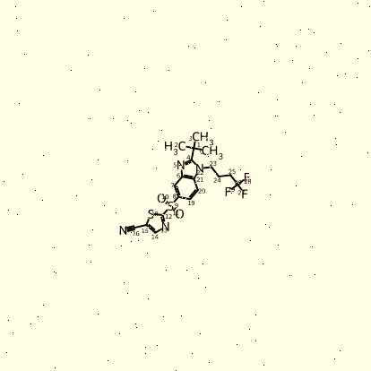 CC(C)(C)c1nc2cc(S(=O)(=O)c3ncc(C#N)s3)ccc2n1CCCC(F)(F)F